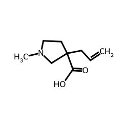 C=CCC1(C(=O)O)CCN(C)C1